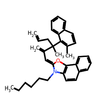 C=CCC(C)(C(=C)/C=C1\Oc2c(ccc3ccccc23)N1CCCCCC)c1c(C)ccc2ccccc12